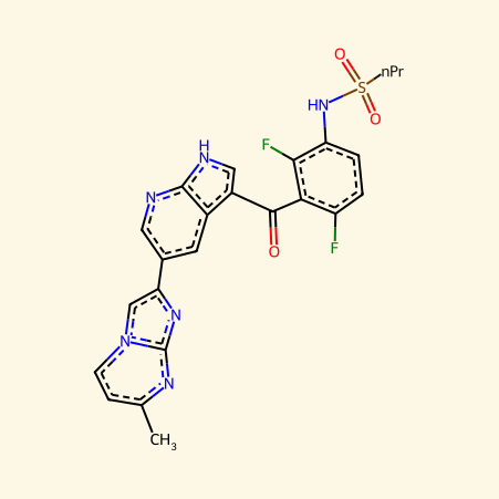 CCCS(=O)(=O)Nc1ccc(F)c(C(=O)c2c[nH]c3ncc(-c4cn5ccc(C)nc5n4)cc23)c1F